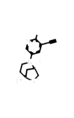 C#Cc1cc(N2CC[C@H]3C[C@@H]2CN3)cnc1Cl